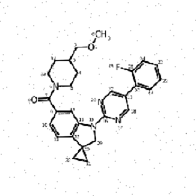 COCC1CCN(C(=O)c2ccc3c(c2)N(c2ncc(-c4ccccc4F)cn2)CC32CC2)CC1